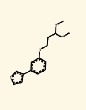 COC(CCOc1cccc(-c2ccsc2)c1)OC